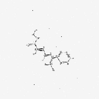 CCOC(=O)/C(C)=C/C(C)=C/C(=C(C)C)c1ccccc1